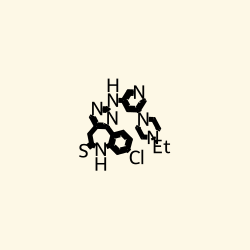 CCN1CCN(c2cncc(Nc3ncc4c(n3)-c3ccc(Cl)cc3NC(=S)C4)c2)CC1